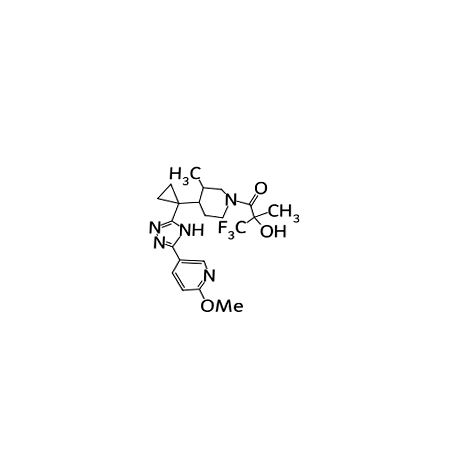 COc1ccc(-c2nnc(C3(C4CCN(C(=O)C(C)(O)C(F)(F)F)CC4C)CC3)[nH]2)cn1